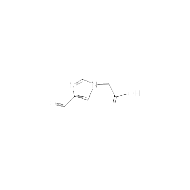 O=Cc1cn(CC(=O)O)cn1